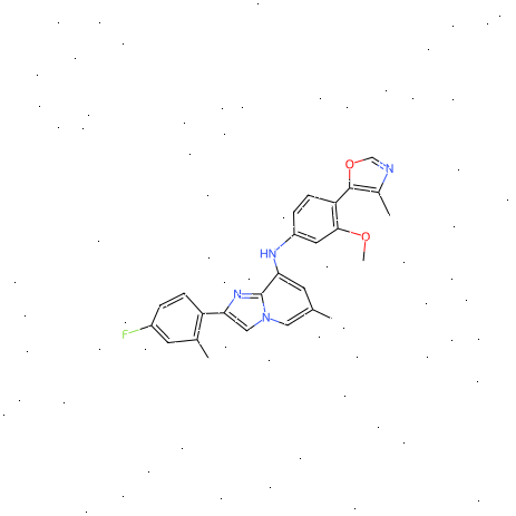 COc1cc(Nc2cc(C)cn3cc(-c4ccc(F)cc4C)nc23)ccc1-c1ocnc1C